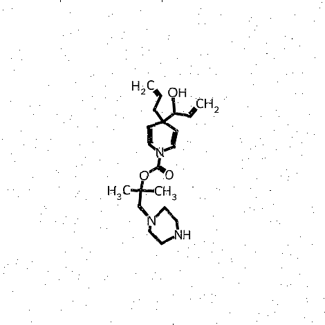 C=CCC1(C(O)C=C)C=CN(C(=O)OC(C)(C)CN2CCNCC2)C=C1